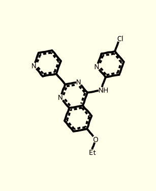 CCOc1ccc2nc(-c3cccnc3)nc(Nc3ccc(Cl)cn3)c2c1